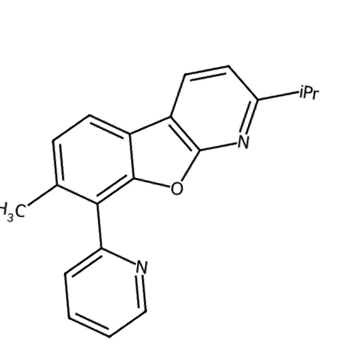 Cc1ccc2c(oc3nc(C(C)C)ccc32)c1-c1ccccn1